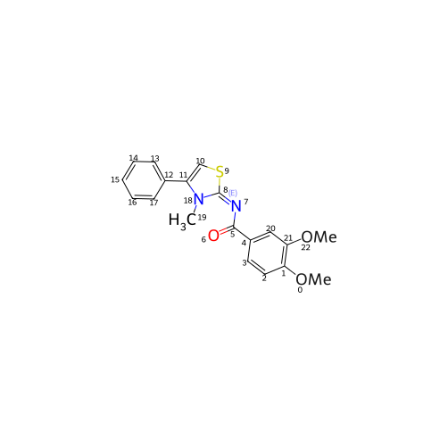 COc1ccc(C(=O)/N=c2/scc(-c3ccccc3)n2C)cc1OC